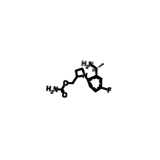 C[C@@H](N)c1cc(F)ccc1N1CCC1COC(N)=O